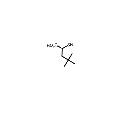 CC(C)(C)C[C@H](S)C(=O)O